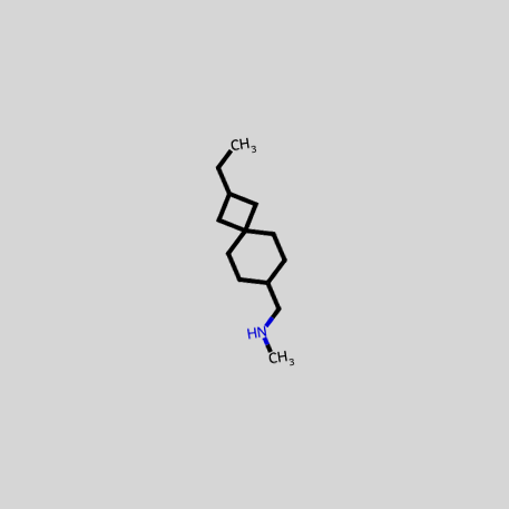 CCC1CC2(CCC(CNC)CC2)C1